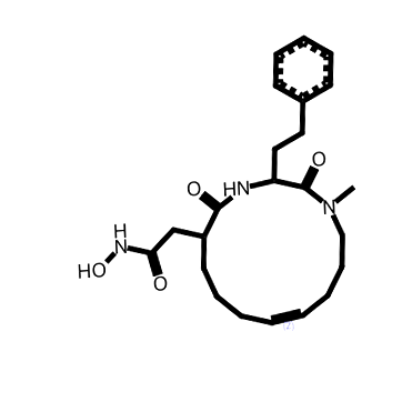 CN1CCC/C=C\CCCC(CC(=O)NO)C(=O)NC(CCc2ccccc2)C1=O